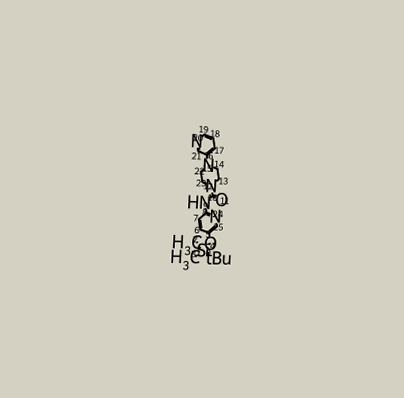 CC(C)(C)[Si](C)(C)Oc1ccc(NC(=O)N2CCN(c3cccnc3)CC2)nc1